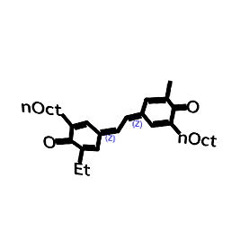 CCCCCCCCC1=C/C(=C\C=C2\C=C(CC)C(=O)C(CCCCCCCC)=C2)C=C(C)C1=O